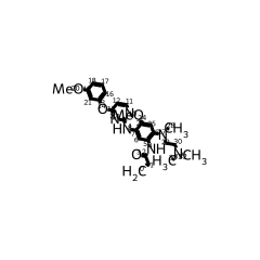 C=CC(=O)Nc1cc(Nc2nccc(Oc3cccc(OC)c3)n2)c(OC)cc1N(C)CCN(C)C